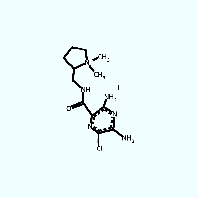 C[N+]1(C)CCCC1CNC(=O)c1nc(Cl)c(N)nc1N.[I-]